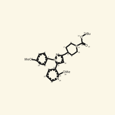 COc1ccc(-n2nc(C3CCN(C(=O)OC(C)(C)C)CC3)cc2-c2cccnc2OC)cc1